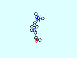 c1ccc(-c2nc(-c3ccccc3)nc(-c3ccc4c5ccccc5c5c(-n6c7ccccc7c7cc(-c8ccc9oc%10ccccc%10c9c8)ccc76)cccc5c4c3)n2)cc1